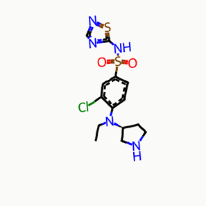 CCN(c1ccc(S(=O)(=O)Nc2ncns2)cc1Cl)[C@H]1CCNC1